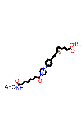 CC(=O)ONC(=O)CCCCCCC(=O)N1CCN(c2ccc(C#Cc3ccc(C=CC(=O)OC(C)(C)C)s3)cc2)CC1